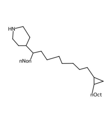 CCCCCCCCCC(CCCCCCCC1CC1CCCCCCCC)C1CCNCC1